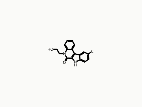 O=c1c2[nH]c3ccc(Cl)cc3c2c2ccccc2n1CCO